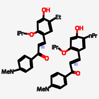 CCCc1cc(/C=C/C(=O)c2ccc(NC)cc2)c(OC(C)C)cc1O.CCc1cc(/C=C/C(=O)c2ccc(NC)cc2)c(OC(C)C)cc1O